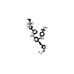 CC(C)(O)C1CCC(Nc2cc(Nc3ccnc(-c4cnn(S(=O)(=O)C5CC5)c4)n3)ncc2C#Cc2cnn(CC(F)(F)F)c2)CC1